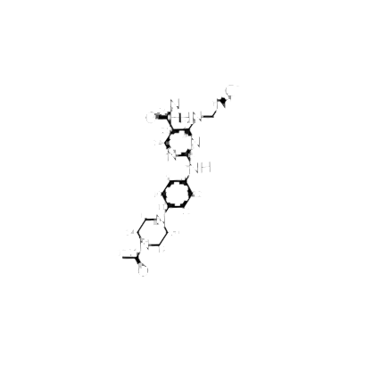 [C-]#[N+]CNc1nc(Nc2ccc(N3CCN(C(C)=O)CC3)cc2)ncc1C(N)=O